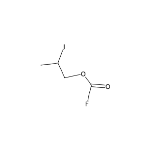 CC(I)COC(=O)F